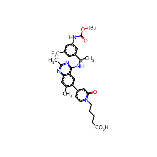 Cc1nc(N[C@H](C)c2cc(NC(=O)OC(C)(C)C)cc(C(F)(F)F)c2)c2cc(-c3ccn(CCCCC(=O)O)c(=O)c3)c(C)cc2n1